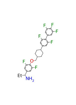 CCC(N)c1cc(F)c(OCC2CCC(c3cc(F)c(-c4cc(F)c(F)c(F)c4)c(F)c3)CC2)c(F)c1